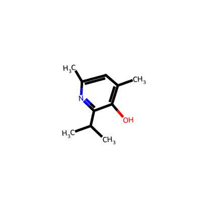 Cc1cc(C)c(O)c(C(C)C)n1